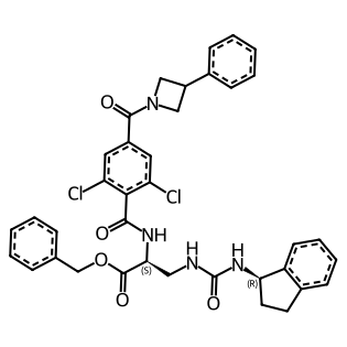 O=C(NC[C@H](NC(=O)c1c(Cl)cc(C(=O)N2CC(c3ccccc3)C2)cc1Cl)C(=O)OCc1ccccc1)N[C@@H]1CCc2ccccc21